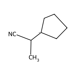 CC(C#N)[C]1CCCC1